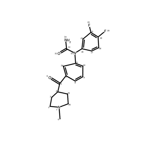 CN1CCC(C(=O)c2cccc(N(C(N)=O)c3ccc(F)c(F)c3)c2)CC1